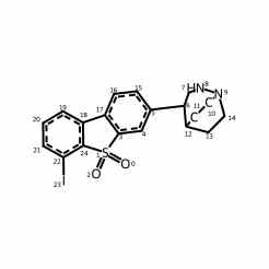 O=S1(=O)c2cc(C3CNN4CCC3CC4)ccc2-c2cccc(I)c21